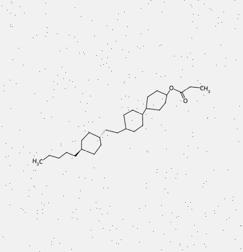 CCCCC[C@H]1CC[C@H](CCC2CCC(C3CCC(OC(=O)CC)CC3)CC2)CC1